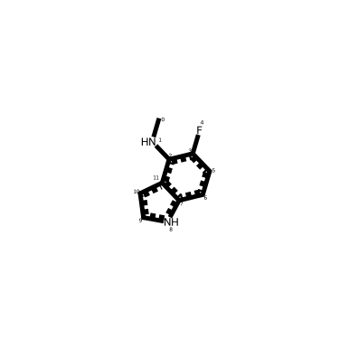 CNc1c(F)ccc2[nH]ccc12